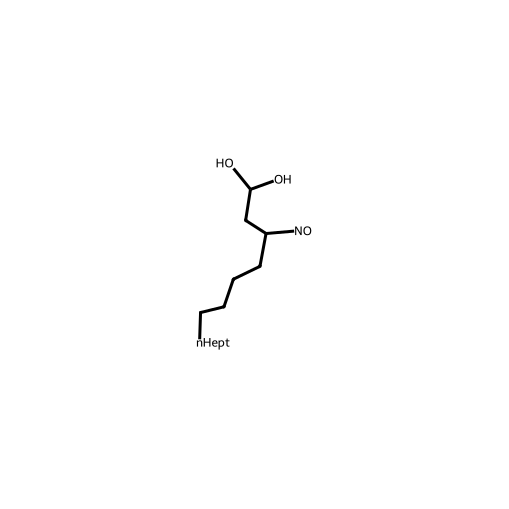 CCCCCCCCCCCC(CC(O)O)N=O